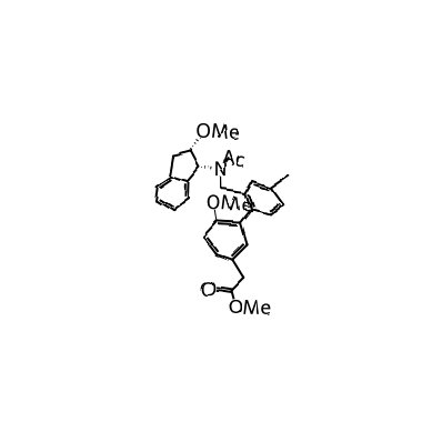 COC(=O)Cc1ccc(OC)c(-c2ccc(C)cc2CN(C(C)=O)[C@@H]2c3ccccc3C[C@@H]2OC)c1